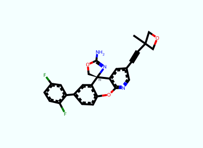 CC1(C#Cc2cnc3c(c2)[C@]2(COC(N)=N2)c2cc(-c4cc(F)ccc4F)ccc2O3)COC1